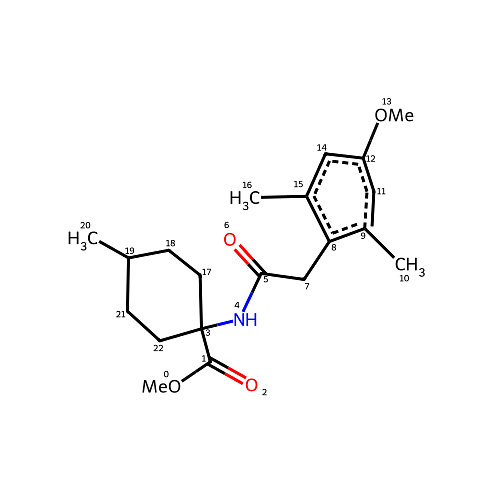 COC(=O)C1(NC(=O)Cc2c(C)cc(OC)cc2C)CCC(C)CC1